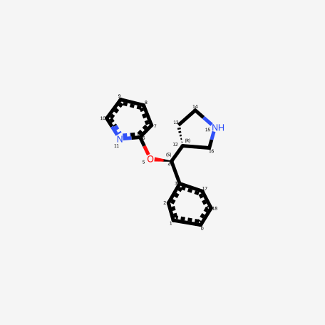 c1ccc([C@@H](Oc2ccccn2)[C@@H]2CCNC2)cc1